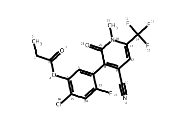 CCC(=O)Oc1cc(-c2c(C#N)cc(C(F)(F)F)n(C)c2=O)c(F)cc1Cl